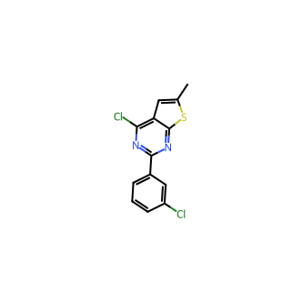 Cc1cc2c(Cl)nc(-c3cccc(Cl)c3)nc2s1